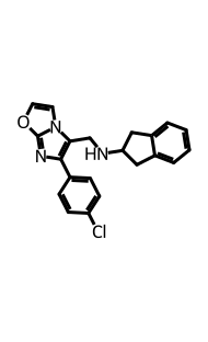 Clc1ccc(-c2nc3occn3c2CNC2Cc3ccccc3C2)cc1